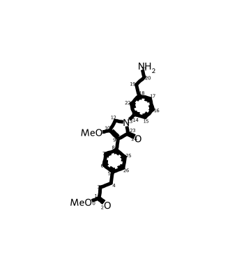 COC(=O)CCc1ccc(C2=C(OC)CN(c3cccc(CCN)c3)C2=O)cc1